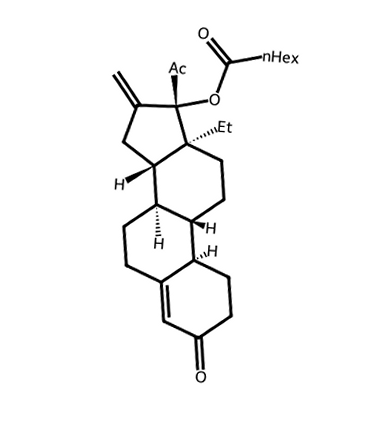 C=C1C[C@H]2[C@@H]3CCC4=CC(=O)CC[C@@H]4[C@H]3CC[C@]2(CC)[C@]1(OC(=O)CCCCCC)C(C)=O